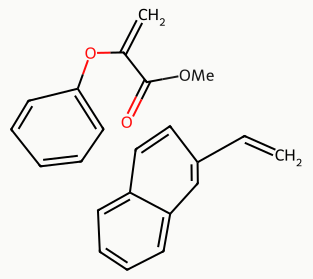 C=C(Oc1ccccc1)C(=O)OC.C=Cc1ccc2ccccc2c1